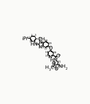 CC(C)c1cccc(Nc2nc3cc(Oc4ccnc(C(=O)NCC(N)S(C)(=O)=O)c4)ccc3n2C)c1